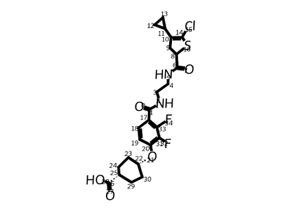 O=C(NCCNC(=O)C1CC(C2CC2)=C(Cl)S1)c1ccc(O[C@H]2CC[C@@H](C(=O)O)CC2)c(F)c1F